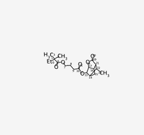 CCC(C)(C)C(=O)OCCCC(=O)OC1C2CC3C1OC(=O)C3C2C